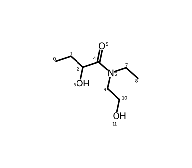 CCC(O)C(=O)N(CC)CCO